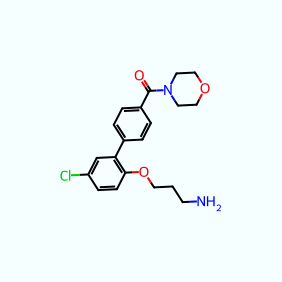 NCCCOc1ccc(Cl)cc1-c1ccc(C(=O)N2CCOCC2)cc1